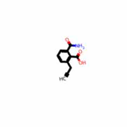 C#CCc1cccc(C(N)=O)c1C(=O)O